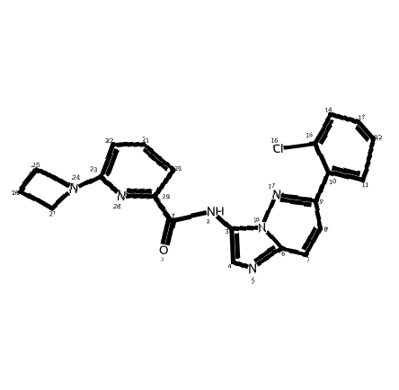 O=C(Nc1cnc2ccc(-c3ccccc3Cl)nn12)c1cccc(N2CCC2)n1